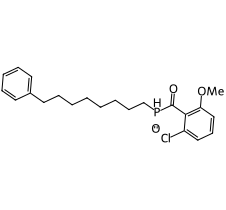 COc1cccc(Cl)c1C(=O)[PH](=O)CCCCCCCCc1ccccc1